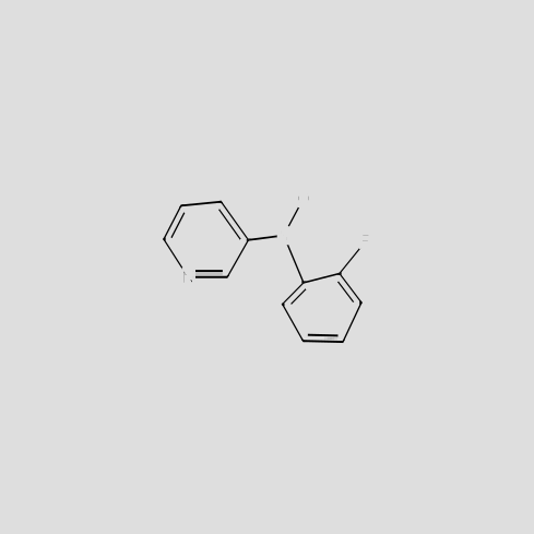 [O-][S+](c1cccnc1)c1ccccc1F